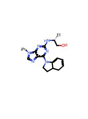 CC[C@H](CO)Nc1nc(N2CCC3CC=CC=C32)c2ncn(C(C)C)c2n1